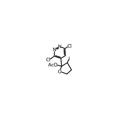 CC(=O)OC1(c2cc(Cl)nnc2Cl)OCCC1I